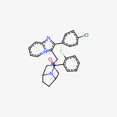 O=C(c1ccccc1F)N1C2CCC1CN(Cc1c(-c3ccc(Cl)cc3)nc3ccccn13)C2